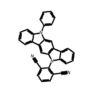 N#Cc1cccc(C#N)c1-n1c2ccccc2c2cc3c(cc21)c1ccccc1n3-c1ccccc1